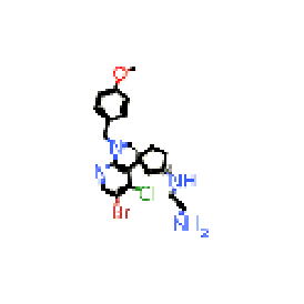 COc1ccc(CN2C[C@@]3(CC[C@H](NCCN)C3)c3c2ncc(Br)c3Cl)cc1